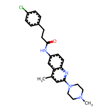 Cc1cc(N2CCN(C)CC2)nc2ccc(NC(=O)CCc3ccc(Cl)cc3)cc12